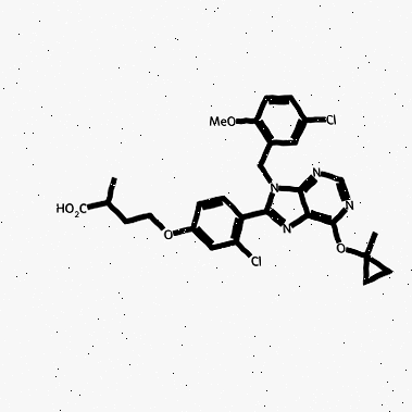 COc1ccc(Cl)cc1Cn1c(-c2ccc(OCCC(C)C(=O)O)cc2Cl)nc2c(OC3(C)CC3)ncnc21